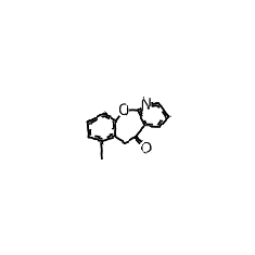 Cc1cccc2c1CC(=O)c1cccnc1O2